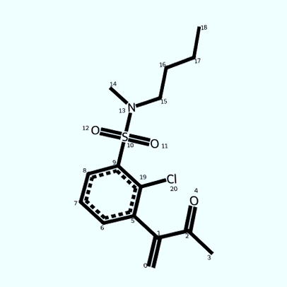 C=C(C(C)=O)c1cccc(S(=O)(=O)N(C)CCCC)c1Cl